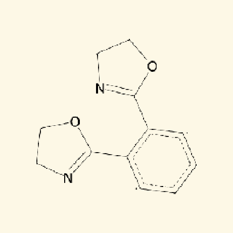 [c]1cc[c]c(C2=NCCO2)c1C1=NCCO1